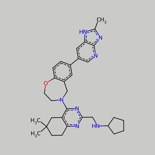 Cc1nc2ncc(-c3ccc4c(c3)CN(c3nc(CNC5CCCC5)nc5c3CC(C)(C)CC5)CCO4)cc2[nH]1